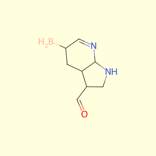 BC1C=NC2NCC(C=O)C2C1